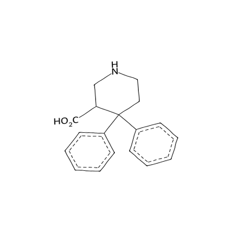 O=C(O)C1CNCCC1(c1ccccc1)c1ccccc1